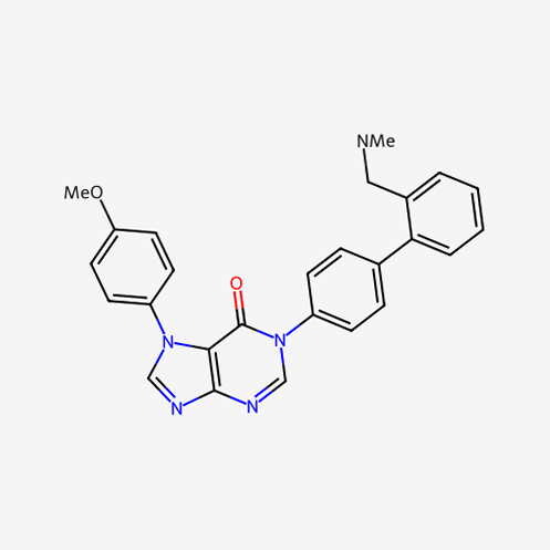 CNCc1ccccc1-c1ccc(-n2cnc3ncn(-c4ccc(OC)cc4)c3c2=O)cc1